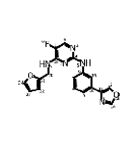 Fc1cnc(Nc2cccc(-c3cocn3)c2)nc1NCc1ccco1